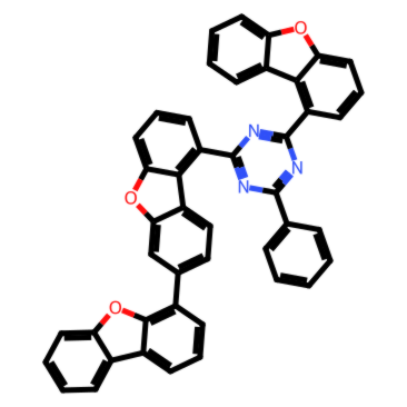 c1ccc(-c2nc(-c3cccc4oc5ccccc5c34)nc(-c3cccc4oc5cc(-c6cccc7c6oc6ccccc67)ccc5c34)n2)cc1